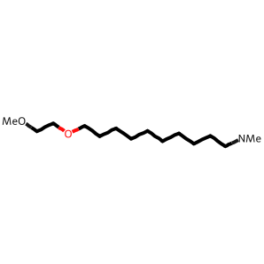 CNCCCCCCCCCCOCCOC